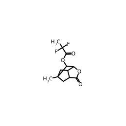 CC(F)(F)C(=O)OC1C2OC(=O)C3CC1(C)CC32